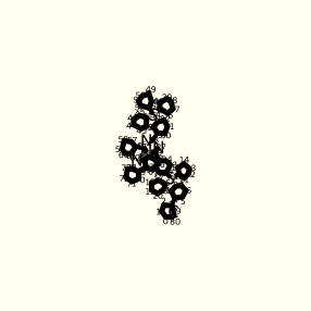 c1ccc(-c2cccc(S(c3ccccc3)(c3ccccc3)c3ccc(-c4nc(-c5cccc(S(c6ccccc6)(c6ccccc6)c6ccccc6)c5)nc(-c5ccccc5-n5c6ccccc6c6ccccc65)n4)cc3)c2)cc1